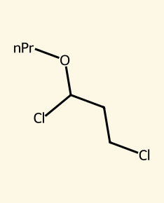 CCCOC(Cl)CCCl